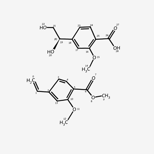 C=Cc1ccc(C(=O)OC)c(OC)c1.COc1cc([C@@H](O)CO)ccc1C(=O)O